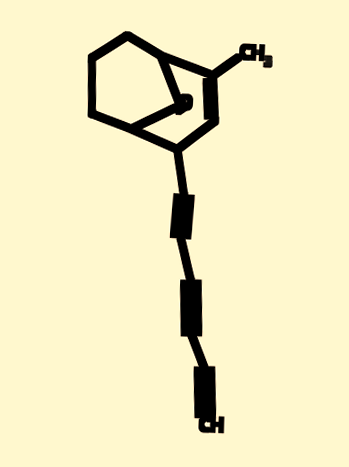 C#CC#CC#CC1C=C(C)C2CCCC1C2=O